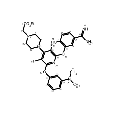 CCOC(=O)CN1CCN(c2c(F)c(Oc3cccc(N(C)C)c3)nc(Oc3cc(C(=N)N)ccc3O)c2F)CC1